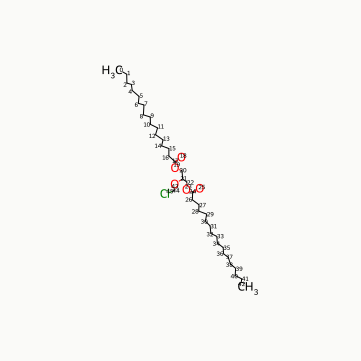 CCCCCCCCCCCCCCCCCC(=O)OCC(COC(=O)CCCCCCCCCCCCCCCCC)OCCl